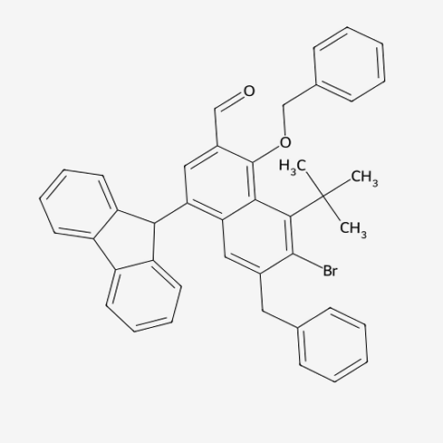 CC(C)(C)c1c(Br)c(Cc2ccccc2)cc2c(C3c4ccccc4-c4ccccc43)cc(C=O)c(OCc3ccccc3)c12